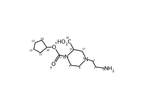 NCCN1CCN(C(=O)OC2CCCC2)C(C(=O)O)C1